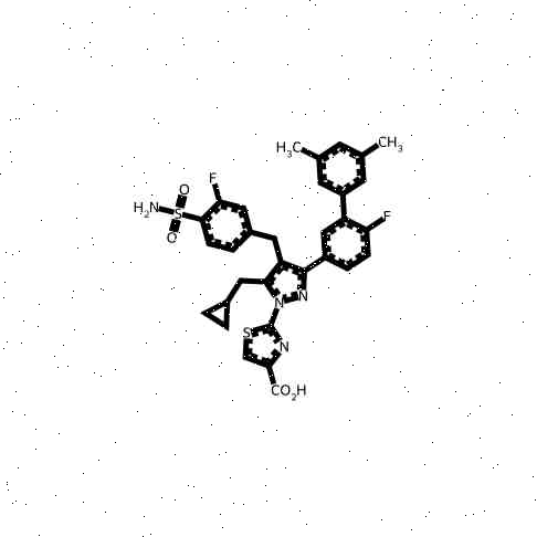 Cc1cc(C)cc(-c2cc(-c3nn(-c4nc(C(=O)O)cs4)c(CC4CC4)c3Cc3ccc(S(N)(=O)=O)c(F)c3)ccc2F)c1